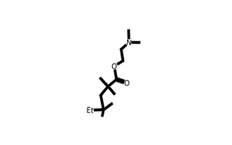 CCC(C)(C)CC(C)(C)C(=O)OCCN(C)C